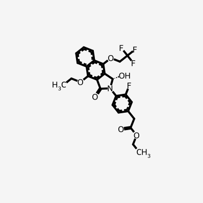 CCOC(=O)Cc1ccc(N2C(=O)c3c(c(OCC(F)(F)F)c4ccccc4c3OCC)[C@@H]2O)c(F)c1